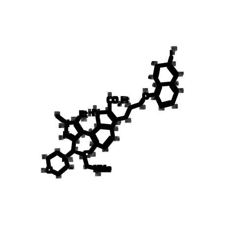 CCOC(=O)c1[nH]c2c(-c3c([C@@H](CCNC)N4CCOCC4)nn(C)c3CC)c(Cl)ccc2c1CCCOc1cccc2cc(F)ccc12